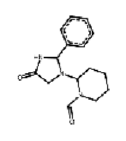 O=[C]N1CCCCC1N1CC(=O)NC1c1ccccc1